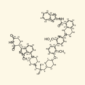 Cc1c(OC2CCC(CC(F)(F)CN3CCN(c4cccc5c(C6CCC(=O)NC6=O)nn(C)c45)CC3)CC2)cccc1-c1ccc(N2CCc3cccc(C(=O)Nc4nc5ccccc5s4)c3C2)nc1C(=O)O